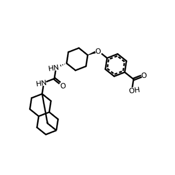 O=C(NC12CCC3CCC(CC3C1)C2)N[C@H]1CC[C@H](Oc2ccc(C(=O)O)cc2)CC1